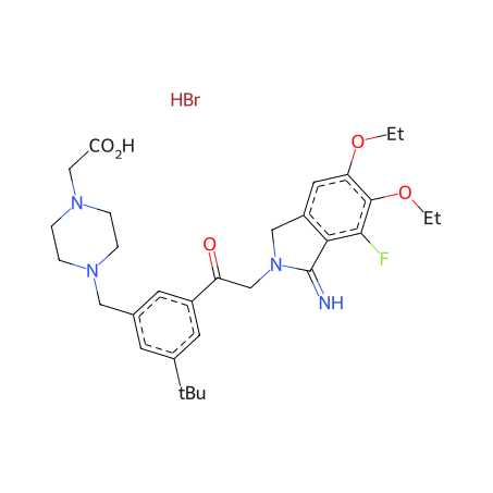 Br.CCOc1cc2c(c(F)c1OCC)C(=N)N(CC(=O)c1cc(CN3CCN(CC(=O)O)CC3)cc(C(C)(C)C)c1)C2